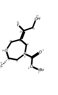 C[C@H]1CN(C(=O)OC(C)(C)C)CC(=C(F)CO)CO1